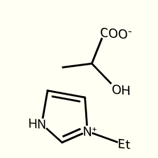 CC(O)C(=O)[O-].CC[n+]1cc[nH]c1